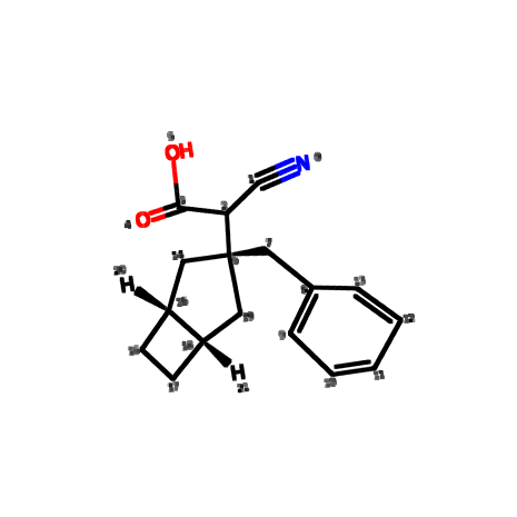 N#CC(C(=O)O)[C@@]1(Cc2ccccc2)C[C@H]2CC[C@H]2C1